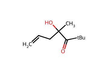 C=CCC(C)(O)C(=O)C(C)(C)C